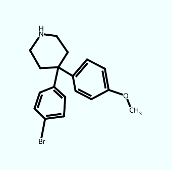 COc1ccc(C2(c3ccc(Br)cc3)CCNCC2)cc1